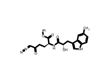 Cc1ccc2[nH]cc(C[C@H](O)C(=O)N[C@@H](CCC(=O)C=[N+]=[N-])C(=O)OC(C)C)c2c1